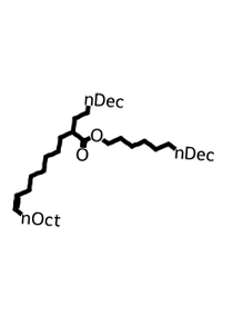 CCCCCCCC/C=C\CCCCCCC(CCCCCCCCCCCC)C(=O)OCCCCCCCCCCCCCCCC